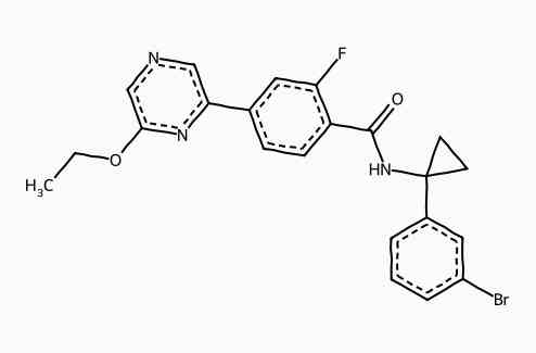 CCOc1cncc(-c2ccc(C(=O)NC3(c4cccc(Br)c4)CC3)c(F)c2)n1